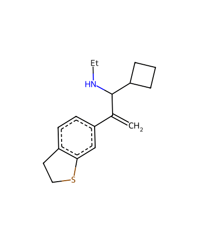 C=C(c1ccc2c(c1)SCC2)C(NCC)C1CCC1